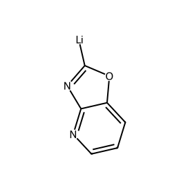 [Li][c]1nc2ncccc2o1